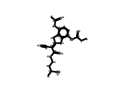 CCC(=O)Oc1ccc(OC(C)=O)c2c1S/C(=C(/C#N)C(=O)OCCC(C)O)S2